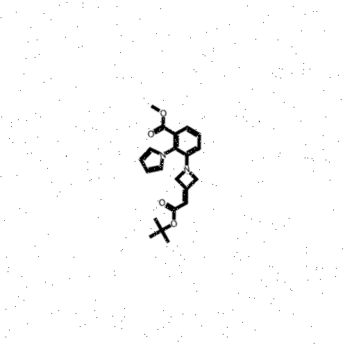 COC(=O)c1cccc(N2CC(=CC(=O)OC(C)(C)C)C2)c1-n1cccc1